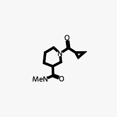 CNC(=O)C1CCCN(C(=O)C2CC2)C1